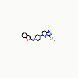 FC(F)(F)c1nnc2ccc(N3CCN(Cc4cc5ccccc5o4)CC3)nn12